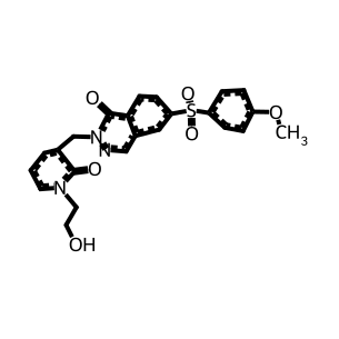 COc1ccc(S(=O)(=O)c2ccc3c(=O)n(Cc4cccn(CCO)c4=O)ncc3c2)cc1